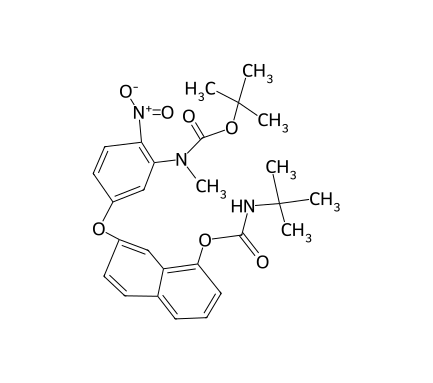 CN(C(=O)OC(C)(C)C)c1cc(Oc2ccc3cccc(OC(=O)NC(C)(C)C)c3c2)ccc1[N+](=O)[O-]